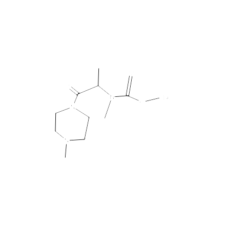 CC(C(=O)N1CCN(C)CC1)N(C)C(=O)OC(C)(C)C